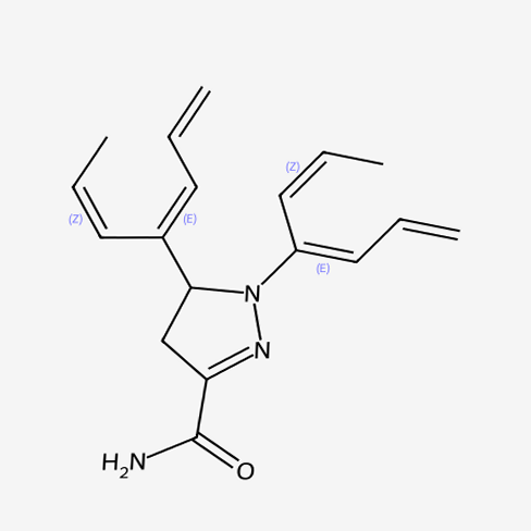 C=C/C=C(\C=C/C)C1CC(C(N)=O)=NN1C(/C=C\C)=C/C=C